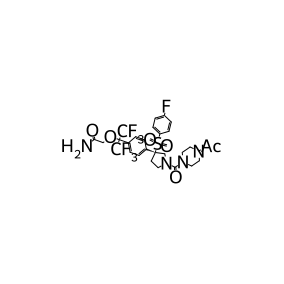 CC(=O)N1CCN(C(=O)N2CC[C@](c3ccc(C(OCC(N)=O)(C(F)(F)F)C(F)(F)F)cc3)(S(=O)(=O)c3ccc(F)cc3)C2)CC1